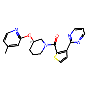 Cc1ccnc(O[C@@H]2CCCN(C(=O)c3sccc3-c3ncccn3)C2)c1